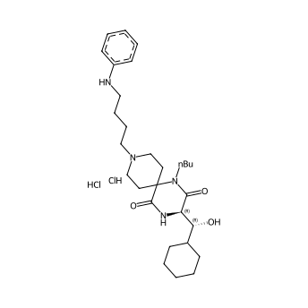 CCCCN1C(=O)[C@@H]([C@H](O)C2CCCCC2)NC(=O)C12CCN(CCCCNc1ccccc1)CC2.Cl.Cl